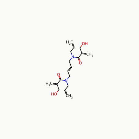 C=CCN(C/C=C/CN(CC=C)C(=O)C(=C)CO)C(=O)C(=C)CO